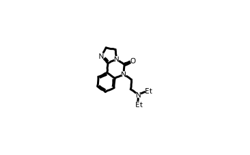 CCN(CC)CCN1C(=O)N2CCN=C2c2ccccc21